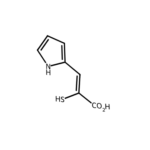 O=C(O)C(S)=Cc1ccc[nH]1